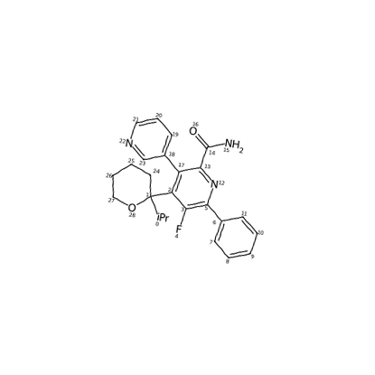 CC(C)C1(c2c(F)c(-c3ccccc3)nc(C(N)=O)c2-c2cccnc2)CCCCO1